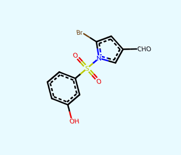 O=Cc1cc(Br)n(S(=O)(=O)c2cccc(O)c2)c1